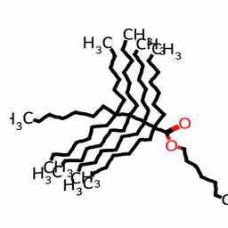 CCCCCCCOC(=O)C(CCCCCCC)(CCCCCCC)C(CCCCCCC)(CCCCCCC)C(CCCCCCC)(CCCCCCC)C(CCCCCC)(CCCCCCC)CCCCCCC